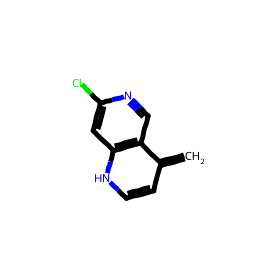 C=C1C=CNc2cc(Cl)ncc21